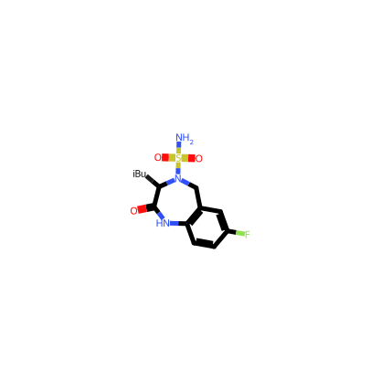 CCC(C)C1C(=O)Nc2ccc(F)cc2CN1S(N)(=O)=O